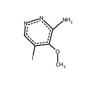 COc1c(I)cnnc1N